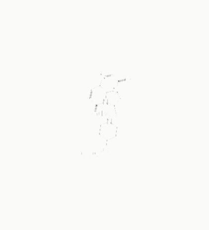 CC(C)(C)[N+]1(CC2CN3C(=O)C=NC4C=CC(=O)N2C43)CCC(OC(=O)[O-])CC1